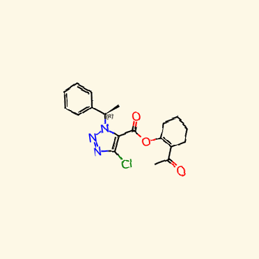 CC(=O)C1=C(OC(=O)c2c(Cl)nnn2[C@H](C)c2ccccc2)CCCC1